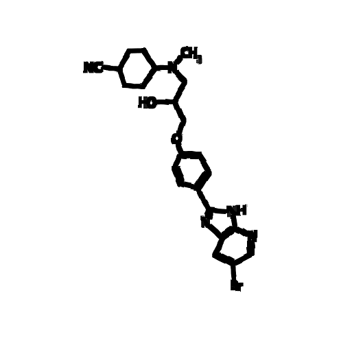 CN(CC(O)COc1ccc(-c2nc3cc(Br)cnc3[nH]2)cc1)C1CCC(C#N)CC1